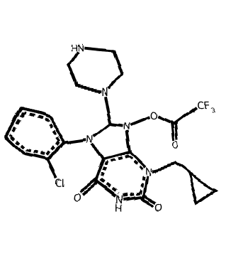 O=C(ON1c2c(c(=O)[nH]c(=O)n2CC2CC2)N(c2ccccc2Cl)C1N1CCNCC1)C(F)(F)F